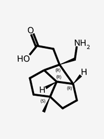 C[C@@]12CCC3[C@@H]1[C@@H](CC2)[C@@]3(CN)CC(=O)O